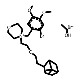 CCO.COc1cc(Br)c(C[N+]2(CCOCCC3CCC4CC3C4(C)C)CCOCC2)cc1OC.[Br-]